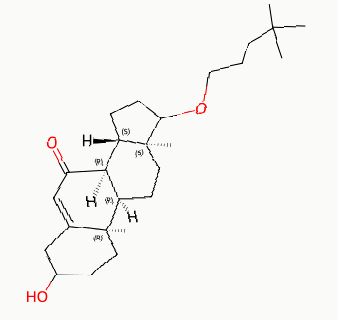 CC(C)(C)CCCOC1CC[C@H]2[C@@H]3C(=O)C=C4CC(O)CC[C@]4(C)[C@@H]3CC[C@]12C